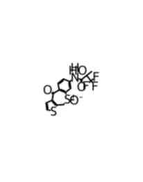 CC(O)(C(=O)Nc1ccc2c(c1)[S+]([O-])Cc1sccc1C2=O)C(F)(F)F